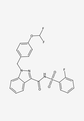 O=C(NS(=O)(=O)c1ccccc1F)c1nn(Cc2ccc(OC(F)F)cc2)c2ccccc12